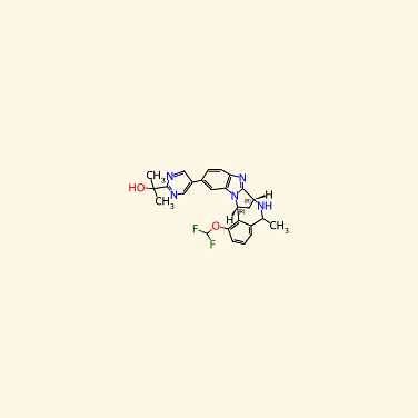 CC1N[C@@H]2C[C@H](c3c(OC(F)F)cccc31)n1c2nc2ccc(-c3cnc(C(C)(C)O)nc3)cc21